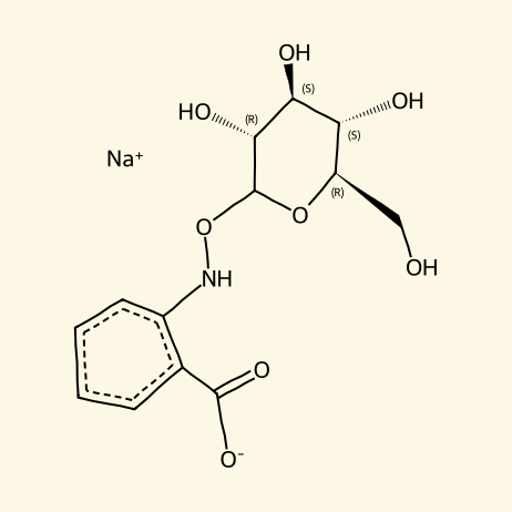 O=C([O-])c1ccccc1NOC1O[C@H](CO)[C@@H](O)[C@H](O)[C@H]1O.[Na+]